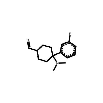 CN(C)C1(c2cccc(F)c2)CCC(C=O)CC1